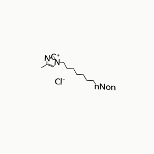 CCCCCCCCCCCCCCCCN1[C+]=NC(C)=C1.[Cl-]